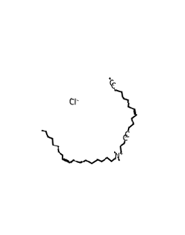 CCCCCCCC/C=C\CCCCCCCC[N+](C)(C)CCCCCCCC/C=C\CCCCCCCC.[Cl-]